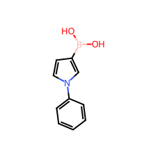 OB(O)c1ccn(-c2ccccc2)c1